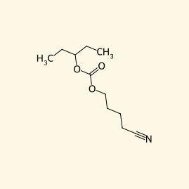 CCC(CC)OC(=O)OCCCCC#N